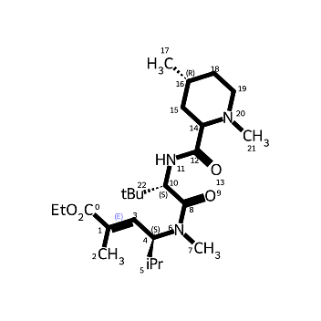 CCOC(=O)/C(C)=C/[C@H](C(C)C)N(C)C(=O)[C@@H](NC(=O)C1C[C@H](C)CCN1C)C(C)(C)C